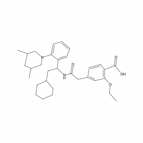 CCOc1cc(CC(=O)NC(CC2CCCCC2)c2ccccc2N2CC(C)CC(C)C2)ccc1C(=O)O